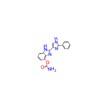 NC(=O)Oc1cccc2[nH]c(-c3c[nH]c(-c4ccccc4)n3)nc12